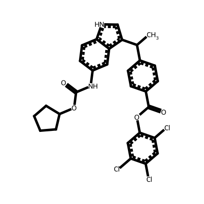 CC(c1ccc(C(=O)Oc2cc(Cl)c(Cl)cc2Cl)cc1)c1c[nH]c2ccc(NC(=O)OC3CCCC3)cc12